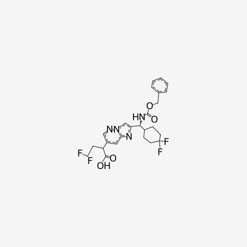 O=C(N[C@H](c1cn2ncc(C(CC(F)F)C(=O)O)cc2n1)C1CCC(F)(F)CC1)OCc1ccccc1